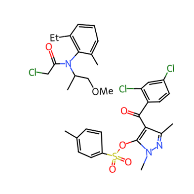 CCc1cccc(C)c1N(C(=O)CCl)C(C)COC.Cc1ccc(S(=O)(=O)Oc2c(C(=O)c3ccc(Cl)cc3Cl)c(C)nn2C)cc1